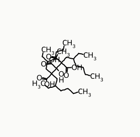 CCCCC(CC)CC(CC(CC)CCCC)(C(=O)O)C(O)(C(=O)O)C(CC(CC)CCCC)(C(C)=O)C(=O)O